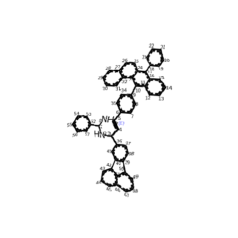 NC(NC(/C=C/c1ccc(-c2c3ccccc3c(-c3ccccc3)c3ccc4ccccc4c23)cc1)c1ccc2c(c1)-c1cccc3cccc-2c13)c1ccccc1